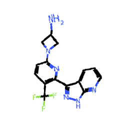 NC1CN(c2ccc(C(F)(F)F)c(-c3n[nH]c4ncccc34)n2)C1